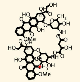 COc1cccc2c1C(=O)c1c(O)c3c(c(O)c1C2=O)C[C@@](O)(C(=O)CO)C[C@@H]3OC1CC(NOC(=O)CC(O)C(=O)ONC2CC(O[C@H]3C[C@](O)(C(=O)CO)Cc4c(O)c5c(c(O)c43)C(=O)c3c(OC)cccc3C5=O)OC(C)C2O)C(O)C(C)O1